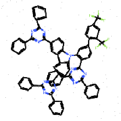 FC(F)(F)c1ccc(-c2ccc(-c3nc(-c4ccccc4)nc(-c4ccccc4)n3)c(-n3c4ccc(-c5nc(-c6ccccc6)nc(-c6ccccc6)n5)cc4c4cc(-c5nc(-c6ccccc6)nc(-c6ccccc6)n5)ccc43)c2)c(C(F)(F)F)c1